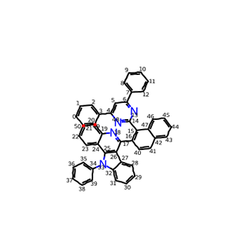 c1ccc(-c2cc(-c3ccccc3)nc(-c3c(-c4nc5ccccc5c5c4c4ccccc4n5-c4ccccc4)ccc4ccccc34)n2)cc1